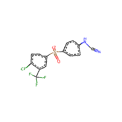 N#CNc1ccc(S(=O)(=O)c2ccc(Cl)c(C(F)(F)F)c2)cc1